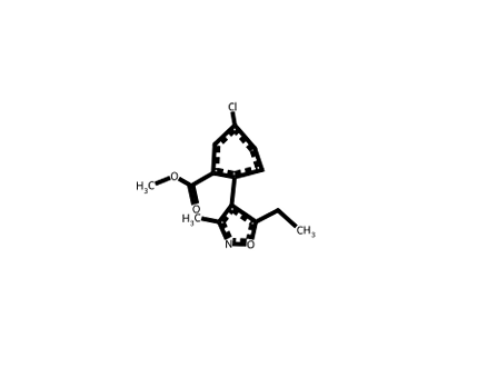 CCc1onc(C)c1-c1ccc(Cl)cc1C(=O)OC